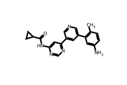 Cc1ccc(N)cc1-c1cncc(-c2cc(NC(=O)C3CC3)ncn2)c1